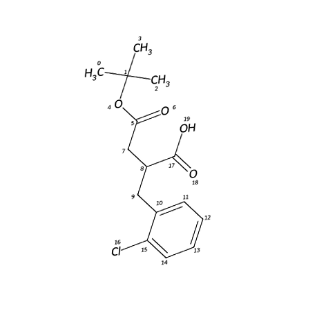 CC(C)(C)OC(=O)CC(Cc1ccccc1Cl)C(=O)O